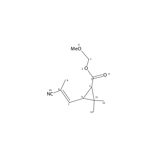 COCOC(=O)C1C(C=C(C)C#N)C1(C)C